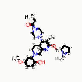 C=CC(=O)N1CCN(c2c(C#N)c(OC[C@@H]3CCCN3C)nc3c2CCN(c2cc(OC(F)(F)F)ccc2O)C3)CC1